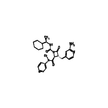 CCN(C(=O)[C@@H]1[C@@H](Cc2ccnc(N)c2)C(=O)N1C(=O)N[C@@H](C1CCCCC1)C(F)(F)F)c1ccncc1